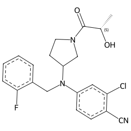 C[C@H](O)C(=O)N1CCC(N(Cc2ccccc2F)c2ccc(C#N)c(Cl)c2)C1